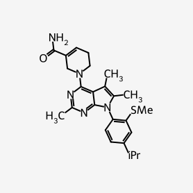 CSc1cc(C(C)C)ccc1-n1c(C)c(C)c2c(N3CCC=C(C(N)=O)C3)nc(C)nc21